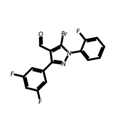 O=Cc1c(-c2cc(F)cc(F)c2)nn(-c2ccccc2F)c1Br